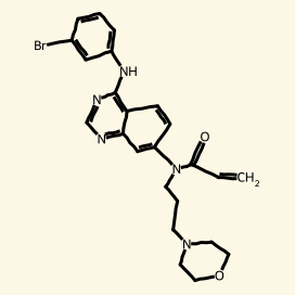 C=CC(=O)N(CCCN1CCOCC1)c1ccc2c(Nc3cccc(Br)c3)ncnc2c1